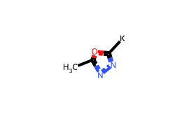 Cc1nn[c]([K])o1